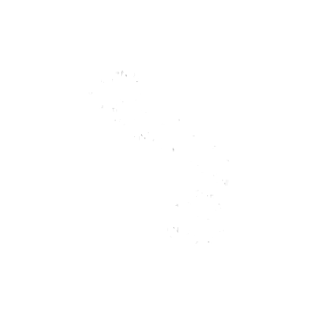 CC(OC(=O)NC1CCC(CC2CCC(NC(=O)OC(C)c3ccccc3[N+](=O)[O-])CC2)CC1)c1ccccc1[N+](=O)[O-]